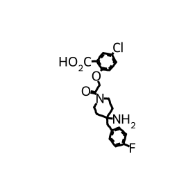 NC1(Cc2ccc(F)cc2)CCN(C(=O)COc2ccc(Cl)cc2C(=O)O)CC1